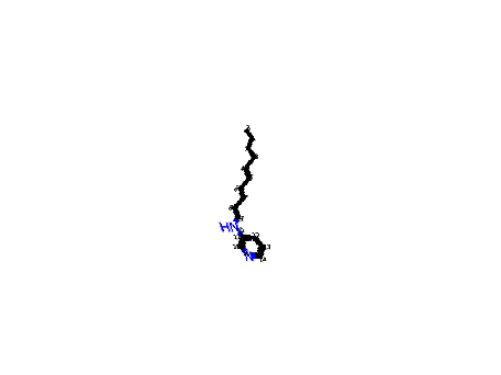 CCCCCCCCCCNc1cccnc1